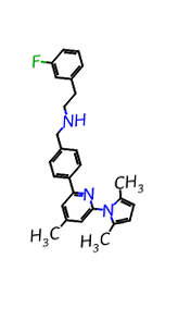 Cc1cc(-c2ccc(CNCCc3cccc(F)c3)cc2)nc(-n2c(C)ccc2C)c1